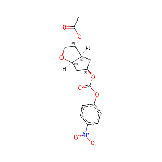 CC(=O)O[C@H]1CO[C@@H]2C[C@H](OC(=O)Oc3ccc([N+](=O)[O-])cc3)C[C@H]12